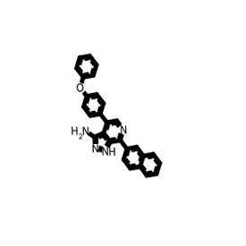 Nc1n[nH]c2c(-c3ccc4ccccc4c3)ncc(-c3ccc(Oc4ccccc4)cc3)c12